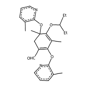 CCC(CC)OC1=C(C)C(Oc2ncccc2C)=C(C=O)CC1(C)Oc1ncccc1C